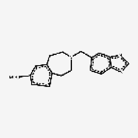 COc1ccc2c(c1)CCN(Cc1ccc3scnc3c1)CC2